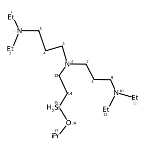 CCN(CC)CCCN(CCCN(CC)CC)CC[SiH2]OC(C)C